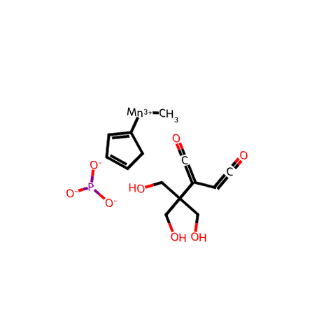 O=C=CC(=C=O)C(CO)(CO)CO.[CH3][Mn+3][C]1=CC=CC1.[O-]P([O-])[O-]